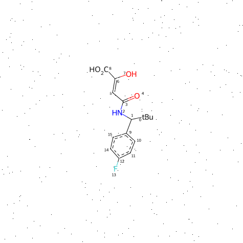 CC(C)(C)C(NC(=O)C=C(O)C(=O)O)c1ccc(F)cc1